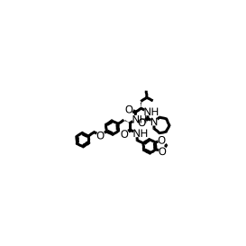 CC(C)C[C@H](NC(=O)N1CCCCCC1)C(=O)N[C@@H](Cc1ccc(OCc2ccccc2)cc1)C(=O)NCc1ccc2c(c1)OCO2